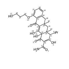 CC(C)C1C(O)=C(C(N)=O)C(=O)C2(O)C(O)=C3C(=O)c4c(cccc4OCCCO)CC3(C)CC12C